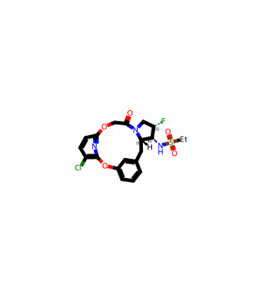 CCS(=O)(=O)N[C@H]1[C@@H](F)CN2C(=O)COc3ccc(Cl)c(n3)Oc3cccc(c3)C[C@@H]12